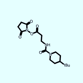 CC(C)(C)C1CCN(C(=O)NCCC(=O)ON2C(=O)CCC2=O)CC1